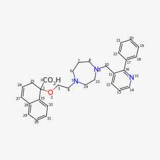 O=C(O)C1(OCCN2CCCN(Cc3cccnc3-c3ccccc3)CC2)CC=Cc2ccccc21